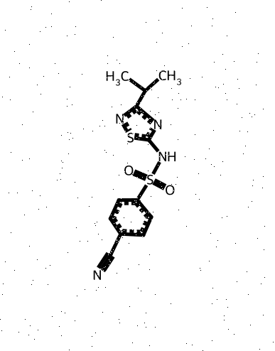 CC(C)c1nsc(NS(=O)(=O)c2ccc(C#N)cc2)n1